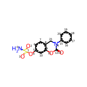 NS(=O)(=O)Oc1ccc2c(c1)OC(=O)N(c1ccccc1)C2